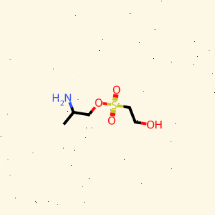 CC(N)COS(=O)(=O)CCO